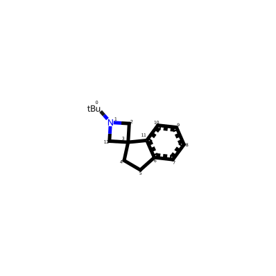 CC(C)(C)N1CC2(CCc3ccccc32)C1